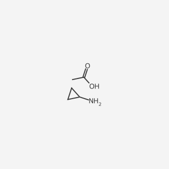 CC(=O)O.NC1CC1